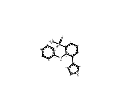 NS(=O)(=O)c1cccc(-c2cocn2)c1Oc1ccccc1